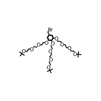 CC(C)(C)OCCOCCOCCOc1cc(CBr)cc(OCCOCCOCCOC(C)(C)C)c1OCCOCCOCCOC(C)(C)C